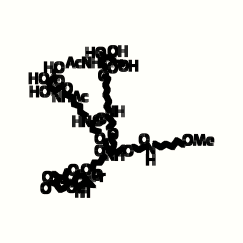 COCCCCCCNC(=O)CCOCCC(CCOCCC(=O)NCCCCCCO[C@@H]1O[C@H](CO)[C@H](O)[C@H](O)[C@H]1NC(C)=O)(CCOCCC(=O)NCCCCCCO[C@@H]1O[C@H](CO)[C@H](O)[C@H](O)[C@H]1NC(C)=O)NC(=O)CCC(=O)O[C@@H]1[C@@]2(C(C)C)C[C@H]2[C@@H]2O[C@@]23[C@@]2(C)CCC4=C(COC4=O)C2CO[C@]13C